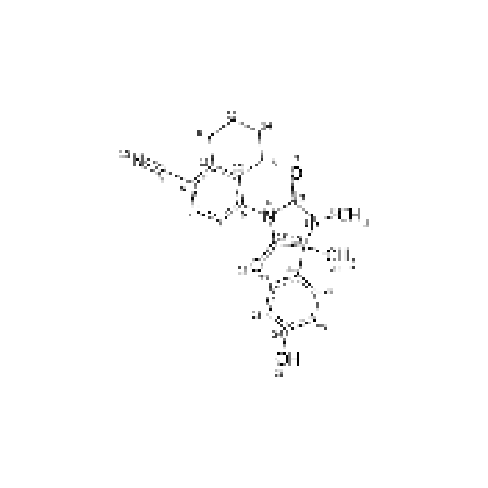 CN1C(=O)N(c2ccc(C#N)c3c2CCCC3)C(=O)C1(C)c1ccc(O)cc1